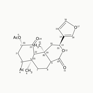 CC(=O)O[C@H]1CC(C(C)=O)[C@]2(C)CCC3C(=O)O[C@H](c4ccoc4)C[C@]3(C)C2C1=O